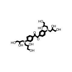 O=C(C(=O)c1ccc(N(CC(O)CO)CC(O)CO)cc1)c1ccc(N(CC(O)CO)CC(O)CO)cc1